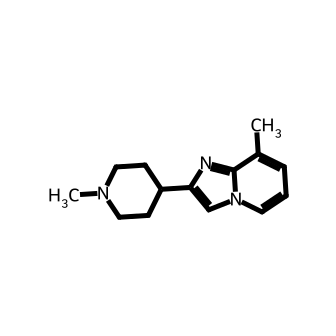 Cc1cccn2cc(C3CCN(C)CC3)nc12